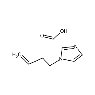 C=CCCn1ccnc1.O=CO